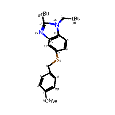 COc1ccc(CSc2ccc3c(c2)nc(C(C)(C)C)n3CC(C)(C)C)cc1